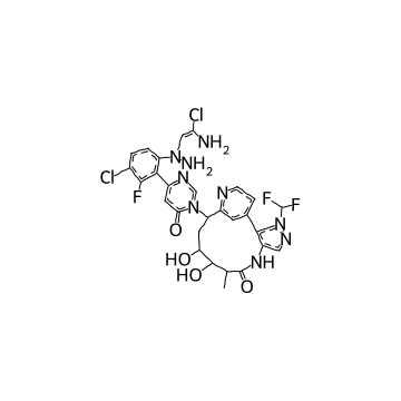 CC1C(=O)Nc2cnn(C(F)F)c2-c2ccnc(c2)C(n2cnc(-c3c(N(N)/C=C(\N)Cl)ccc(Cl)c3F)cc2=O)CC(O)C1O